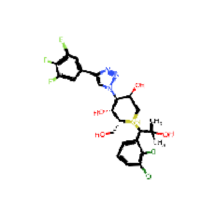 CC(C)(O)C(c1cccc(Cl)c1Cl)[SH]1C[C@H](O)[C@H](n2cc(-c3cc(F)c(F)c(F)c3)nn2)[C@@H](O)[C@H]1CO